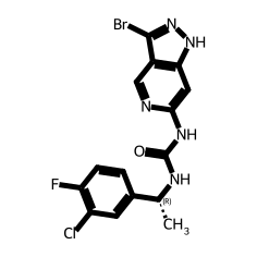 C[C@@H](NC(=O)Nc1cc2[nH]nc(Br)c2cn1)c1ccc(F)c(Cl)c1